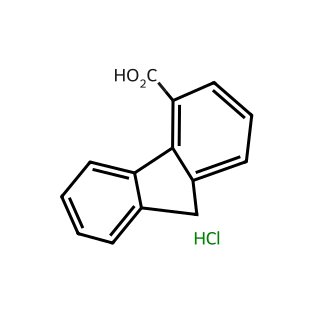 Cl.O=C(O)c1cccc2c1-c1ccccc1C2